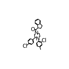 Cc1ccc(N2CCN(C(=O)C3CCc4ccccc43)CC2c2ccc(Cl)cc2)c(Cl)c1